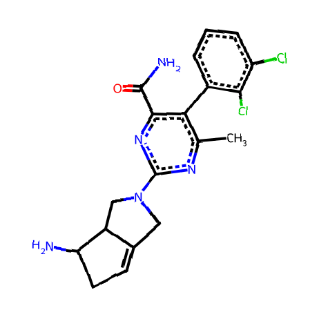 Cc1nc(N2CC3=CCC(N)C3C2)nc(C(N)=O)c1-c1cccc(Cl)c1Cl